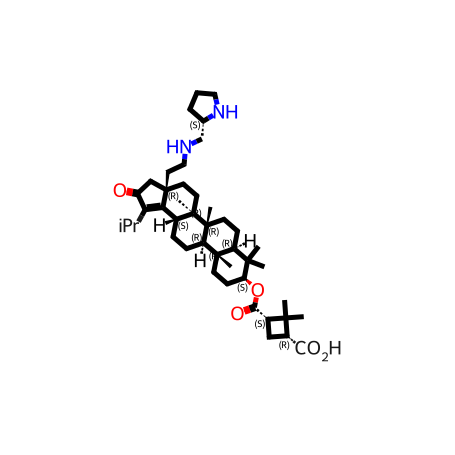 CC(C)C1=C2[C@H]3CC[C@@H]4[C@@]5(C)CC[C@H](OC(=O)[C@H]6C[C@@H](C(=O)O)C6(C)C)C(C)(C)[C@@H]5CC[C@@]4(C)[C@]3(C)CC[C@@]2(CCNC[C@@H]2CCCN2)CC1=O